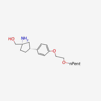 CCCCCOCCOc1ccc([C@@H]2CC[C@@](N)(CO)C2)cc1